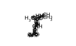 CCC(CC)NC(=O)Nc1ccc(Oc2cnc(NC(=O)c3ccc(-n4cc(CN5CCCCC5)c5ccccc54)cc3)s2)c(COC)c1